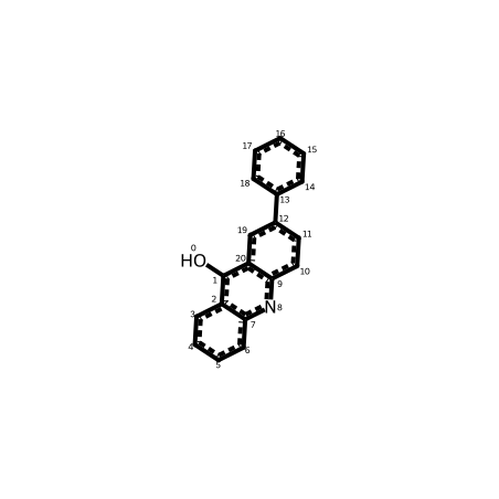 Oc1c2ccccc2nc2ccc(-c3ccccc3)cc12